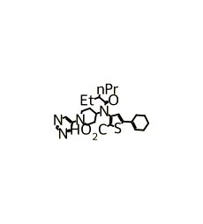 CCCC(CC)C(=O)N(c1cc(C2=CCCCC2)sc1C(=O)O)C1CCN(c2cncnc2)CC1